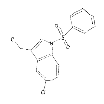 O=S(=O)(c1ccccc1)n1cc(CCl)c2cc(Cl)ccc21